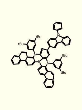 CC(C)(C)c1cc(N2c3cc(-c4ccc5c(c4)c4ccccc4n5-c4ccccc4)cc4c3B(c3ccc5c(ccc6ccccc65)c32)c2ccc3c(ccc5ccccc53)c2N4c2cc(C(C)(C)C)cc(C(C)(C)C)c2)cc(C(C)(C)C)c1